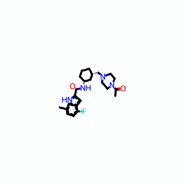 CC(=O)N1CCN(C[C@H]2CCC[C@@H](NC(=O)c3cc4c(F)ccc(C)c4[nH]3)C2)CC1